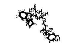 CNN/C(=N\C(=N)OCCN(C)S(=O)(=O)C1CCNCC1)NCc1ccccc1-n1cccn1